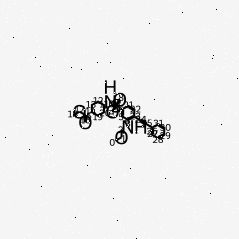 COCNc1cc(S(=O)(=O)N[C@H]2CC[C@H](C(=O)OC)CC2)ccc1C#Cc1ccccc1